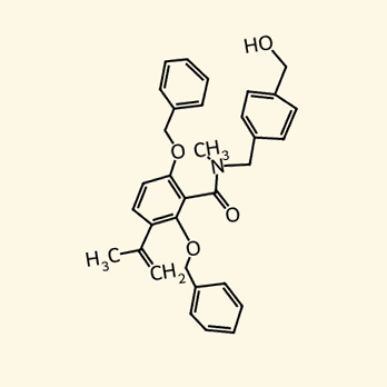 C=C(C)c1ccc(OCc2ccccc2)c(C(=O)N(C)Cc2ccc(CO)cc2)c1OCc1ccccc1